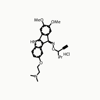 C#CC(ON=C1c2cc(OC)c(OC)cc2-c2[nH]c3ccc(OCCN(C)C)cc3c21)C(C)C.Cl